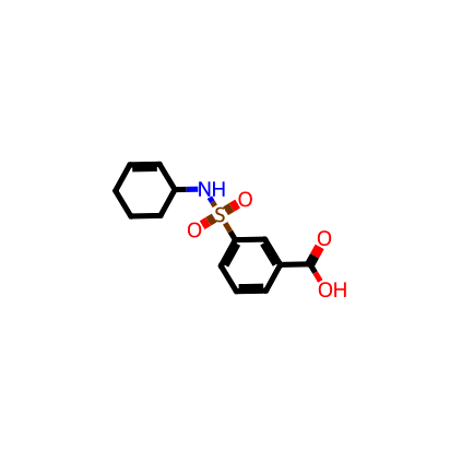 O=C(O)c1cccc(S(=O)(=O)NC2C=CCCC2)c1